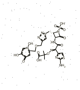 CC(C)(ON=C(C(=O)N[C@@H]1C(=O)N(S(=O)(=O)O)[C@H]1Cn1cc(COCc2cc(=O)c(O)cn2O)nn1)c1csc(N)n1)C(=O)O